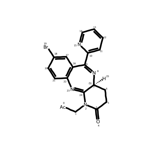 CC(=O)CN1C(=O)CC[C@@H]2N=C(c3ccccn3)c3cc(Br)ccc3N=C21